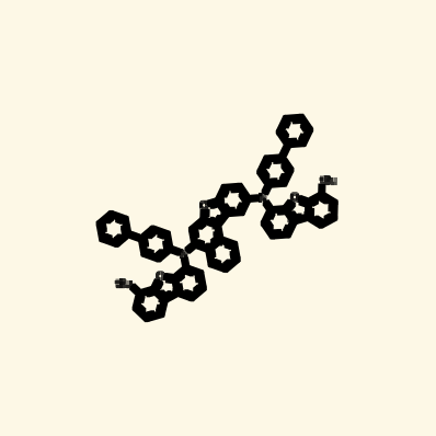 CC(C)(C)c1cccc2c1oc1c(N(c3ccc(-c4ccccc4)cc3)c3ccc4oc5cc(N(c6ccc(-c7ccccc7)cc6)c6cccc7c6oc6c(C(C)(C)C)cccc67)c6ccccc6c5c4c3)cccc12